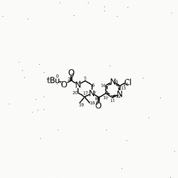 CC(C)(C)OC(=O)N1CCN(C(=O)c2cnc(Cl)nc2)C(C)(C)C1